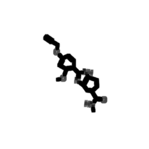 C#CCOc1ccc(-c2nc3cc(C(=O)NC)ccc3[nH]2)c(OC)c1